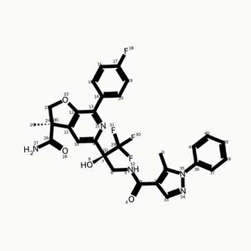 Cc1c(C(=O)NC[C@](O)(c2cc3c(c(-c4ccc(F)cc4)n2)OC[C@]3(C)C(N)=O)C(F)(F)F)cnn1-c1ccccc1